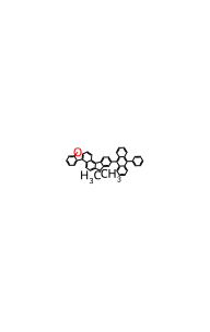 CC1(C)c2cc(-c3c4ccccc4c(-c4ccccc4)c4ccccc34)ccc2-c2c1ccc1c2ccc2oc3ccccc3c21